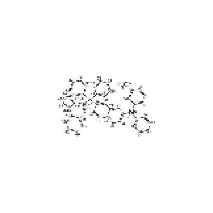 Cc1cccc(N(c2ccccc2)c2ccc3cc4c(cc3c2)C2(c3ccccc3-c3ccccc32)c2c-4c3ccccc3c3ccccc23)c1